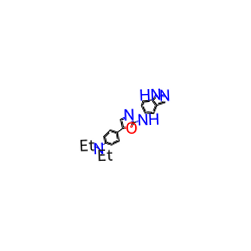 CCN(CC)c1ccc(-c2cnc(Nc3ccc4[nH]ncc4c3)o2)cc1